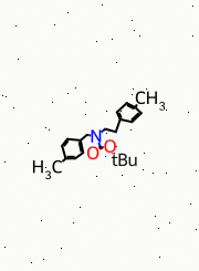 Cc1ccc(CCN(Cc2ccc(C)cc2)C(=O)OC(C)(C)C)cc1